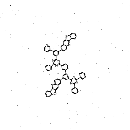 c1ccc(-c2nc(-c3ccccc3)nc(-c3cc(-c4cccc(-c5nc(-c6ccccc6)nc(-c6cc(-c7cccnc7)cc(-c7ccc8nc9c(cc8c7)sc7ccccc79)c6)n5)c4)cc(-c4ccc5nc6c(cc5c4)oc4ccccc46)c3)n2)cc1